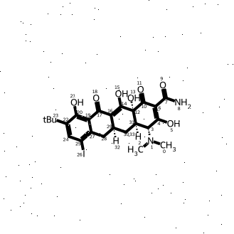 CN(C)[C@H]1C(O)=C(C(N)=O)C(=O)[C@]2(O)C(O)=C3C(=O)c4c(O)c(C(C)(C)C)cc(I)c4C[C@@H]3C[C@H]12